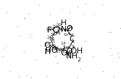 C/C1=C\CC[C@H](CO)[C@@H](OC(N)=O)/C(C)=C/[C@H](C)[C@@H](O)[C@@H](CO)C[C@H](C)Cc2cc(ccc2F)NC1=O